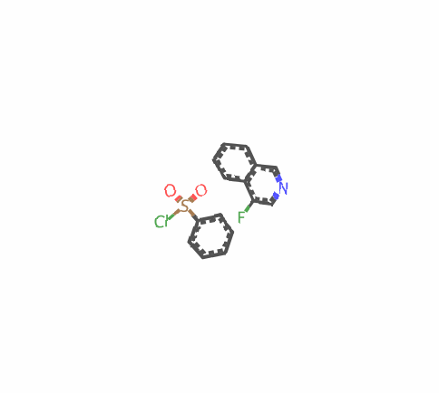 Fc1cncc2ccccc12.O=S(=O)(Cl)c1ccccc1